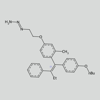 CCCCOc1ccc(/C(=C(\CC)c2ccccc2)c2ccc(OCCN=NN)cc2C)cc1